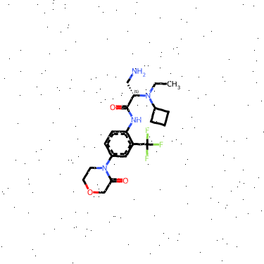 CCN(C1CCC1)[C@@H](CN)C(=O)Nc1ccc(N2CCOCC2=O)cc1C(F)(F)F